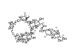 C=C1C[C@@H]2CC[C@@]34C[C@H]5O[C@H]6[C@@H](O3)[C@H]3O[C@H](CC[C@@H]3O[C@H]6C5O4)CC(=O)O[C@@H]3[C@@H](C)[C@@H]4O[C@H](CC(=O)C[C@@H]5O[C@@]6(C[C@H](C)[C@@H]5O)C[C@H](C)[C@@H]5O[C@H](CO)[C@H](O)C[C@@H]5O6)[C@H](O)C[C@@H]4O[C@H]3C[C@H]3O[C@@H](CC[C@@H]1O2)C[C@@H](C)C3=C